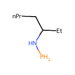 CCCCC(CC)NP